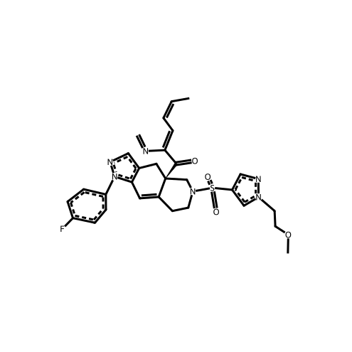 C=N/C(=C\C=C/C)C(=O)[C@]12Cc3cnn(-c4ccc(F)cc4)c3C=C1CCN(S(=O)(=O)c1cnn(CCOC)c1)C2